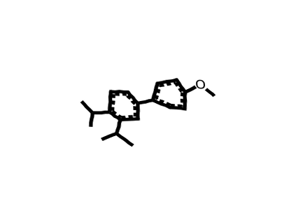 COc1ccc(-c2ccc(C(C)C)c(C(C)C)c2)cc1